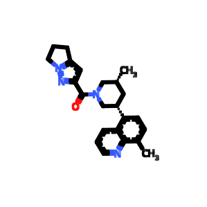 Cc1ccc([C@H]2C[C@@H](C)CN(C(=O)c3cc4n(n3)CCC4)C2)c2cccnc12